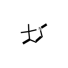 C=N/C=C\C(=C)C(C)(C)C